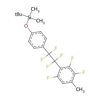 Cc1cc(F)c(C(F)(F)C(F)(F)c2ccc(O[Si](C)(C)C(C)(C)C)cc2)c(F)c1F